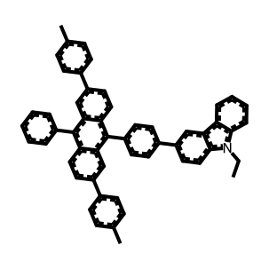 CCn1c2ccccc2c2cc(-c3ccc(-c4c5ccc(-c6ccc(C)cc6)cc5c(-c5ccccc5)c5ccc(-c6ccc(C)cc6)cc45)cc3)ccc21